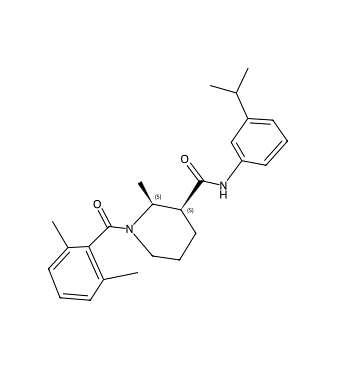 Cc1cccc(C)c1C(=O)N1CCC[C@H](C(=O)Nc2cccc(C(C)C)c2)[C@@H]1C